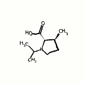 CC(C)N1CC[C@H](C)[C@H]1C(=O)O